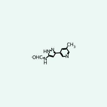 Cc1cncc(-c2cc(N[C]=O)[nH]n2)c1